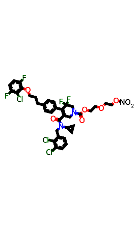 O=C(OCCOCCO[N+](=O)[O-])N1CC(C(=O)N(Cc2cccc(Cl)c2Cl)C2CC2)=C(c2ccc(CCCOc3c(F)ccc(F)c3Cl)cc2)C(F)(F)C1